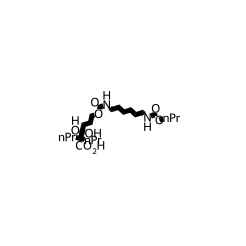 CCCOC(=O)NCCCCCCNC(=O)OCCCC(O)(O)C(CCC)(CCC)C(=O)O